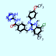 Cn1c(=Nc2ccc(OC(F)(F)F)cc2)n(Cc2ccc(C(=O)Nc3nnn[nH]3)cc2)c2cc(C(F)(F)F)cc(Cl)c21